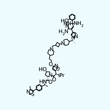 Cc1ncsc1-c1ccc([C@H](C)NC(=O)[C@@H]2C[C@@H](O)CN2C(=O)[C@@H](c2cc(OCCC3CCN(CC4CC(N5CCC([C@@H](C)n6cc(C7=CC(N)(c8ccccc8O)NN=C7N)cn6)CC5)C4)CC3)no2)C(C)C)cc1